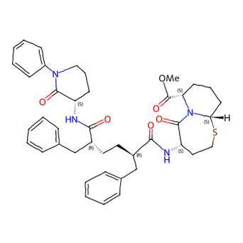 COC(=O)[C@@H]1CCC[C@@H]2SCC[C@H](NC(=O)[C@H](CC[C@H](Cc3ccccc3)C(=O)N[C@H]3CCCN(c4ccccc4)C3=O)Cc3ccccc3)C(=O)N21